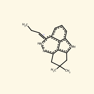 CC/C=c1\[nH]nc2c3c([nH]c4cccc1c43)CC(C)(C)C2